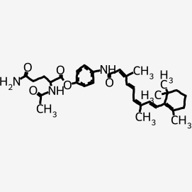 CC(=O)NC(CCC(N)=O)C(=O)Oc1ccc(NC(=O)C=C(C)C=CC=C(C)C=CC2=C(C)CCCC2(C)C)cc1